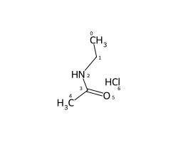 CCNC(C)=O.Cl